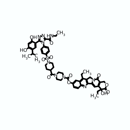 CCNC(=O)c1nnc(-c2cc(C(C)C)c(O)cc2O)n1-c1ccc(S(=O)(=O)N2CCC(C(=O)N3CCN(C(=O)Oc4ccc5nc6c(c(CC)c5c4)Cn4c-6cc5c(c4=O)COC(=O)C5(O)CC)CC3)CC2)cc1